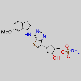 COc1ccc2c(c1)[C@@H](Nc1ncnc3c([C@@H]4C[C@@H](COS(N)(=O)=O)[C@@H](O)C4)csc13)CC2